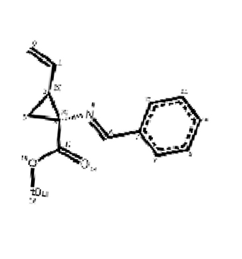 C=C[C@@H]1C[C@]1(N=Cc1ccccc1)C(=O)OC(C)(C)C